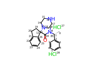 C[C@H](c1ccccc1)N(C)C(=O)[C@]1(N2CCNCC2)CCc2ccccc21.Cl.Cl